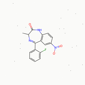 CC1N=C(c2ccccc2F)c2cc([N+](=O)[O-])ccc2NC1=O